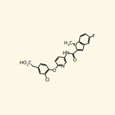 Cn1c(C(=O)Nc2ccc(Oc3ccc(CC(=O)O)cc3Cl)nc2)cc2cc(F)ccc21